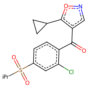 CC(C)S(=O)(=O)c1ccc(C(=O)c2cnoc2C2CC2)c(Cl)c1